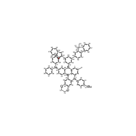 Cc1cc2c3c(c1)N(c1ccc(C(C)(C)C)cc1)c1cc4c(cc1B3c1ccc(N(c3ccccc3)c3ccccc3)cc1N2c1cc(-c2ccc3c(c2)C(C)(C)c2ccccc2-3)cc(-c2cc3ccccc3o2)c1)OCCO4